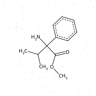 COC(=O)C(N)(c1ccccc1)C(C)C